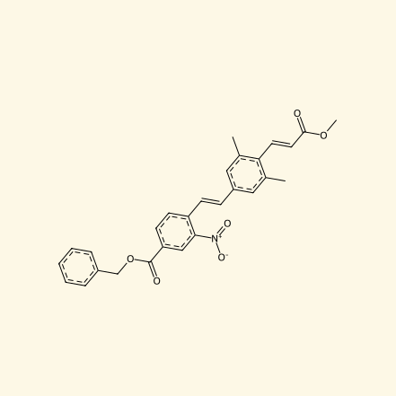 COC(=O)/C=C/c1c(C)cc(/C=C/c2ccc(C(=O)OCc3ccccc3)cc2[N+](=O)[O-])cc1C